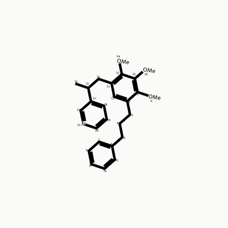 COc1c(CCCc2ccccc2)[c]c(CC(C)c2cccnc2)c(OC)c1OC